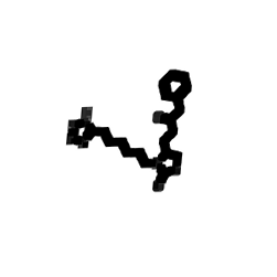 O=C(CCC1CSC(=O)N1CCCCCCc1nnn[nH]1)Cc1ccccc1